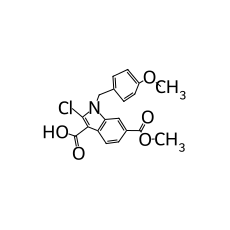 COC(=O)c1ccc2c(C(=O)O)c(Cl)n(Cc3ccc(OC)cc3)c2c1